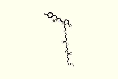 CCCCC(=O)OCCOC(=O)CCCSCCN1C(=O)CC[C@@H]1/C=C/[C@@H](O)Cc1ccc(F)cc1